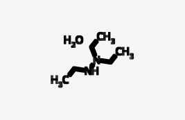 CCNN(CC)CC.O